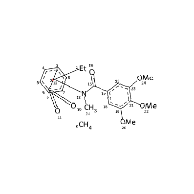 C.CCC1c2ccc(cc2)S(=O)(=O)C1N(C)C(=O)c1cc(OC)c(OC)c(OC)c1